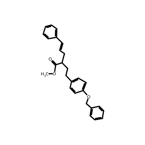 COC(=O)C(CC=Cc1ccccc1)CCc1ccc(OCc2ccccc2)cc1